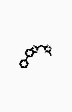 Cc1nnc(Cc2nc3ccc(-c4ccccc4)cc3s2)s1